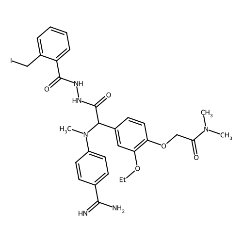 CCOc1cc(C(C(=O)NNC(=O)c2ccccc2CI)N(C)c2ccc(C(=N)N)cc2)ccc1OCC(=O)N(C)C